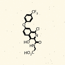 O=C(O)CNC(=O)c1nc(Cl)c2cc(Oc3ccc(C(F)(F)F)cc3)ccc2c1O